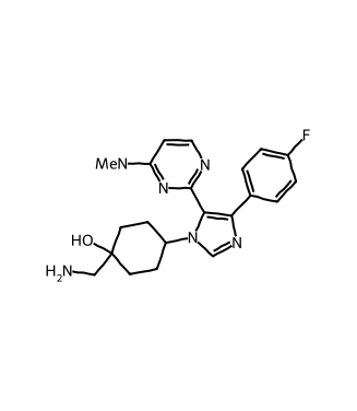 CNc1ccnc(-c2c(-c3ccc(F)cc3)ncn2C2CCC(O)(CN)CC2)n1